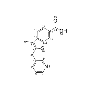 Cc1c(Cc2cccnc2)sc2cc(C(=O)O)ccc12